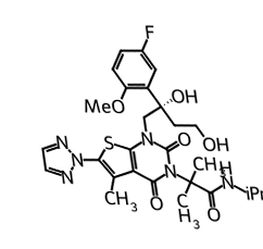 COc1ccc(F)cc1[C@@](O)(CCO)Cn1c(=O)n(C(C)(C)C(=O)NC(C)C)c(=O)c2c(C)c(-n3nccn3)sc21